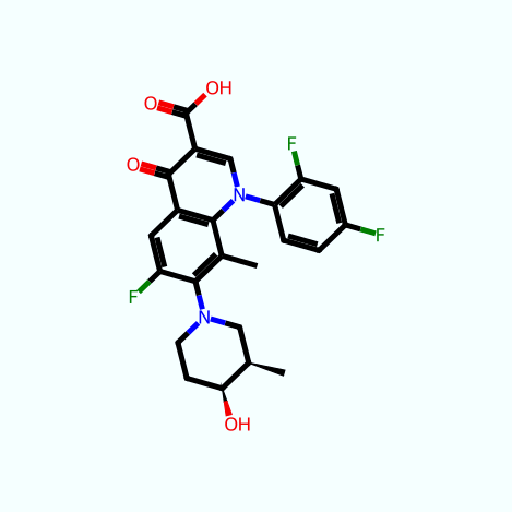 Cc1c(N2CC[C@H](O)[C@H](C)C2)c(F)cc2c(=O)c(C(=O)O)cn(-c3ccc(F)cc3F)c12